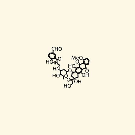 COc1cccc2c1C(=O)c1c(O)c3c(c(O)c1C2=O)C[C@@](O)(C(=O)CO)C[C@@H]3OC1CC(NCNC(=O)c2cc(C=O)ccc2O)C(O)C(C)O1